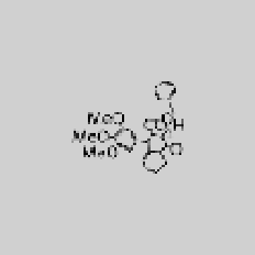 COc1cc(C2C3=CC=CCC3C(=O)C(COCc3ccccc3)C2C(=O)O)cc(OC)c1OC